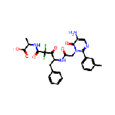 Cc1cccc(-c2ncc(N)c(=O)n2CC(=O)NC(Cc2ccccc2)C(=O)C(F)(F)C(=O)NC(C)C(=O)O)c1